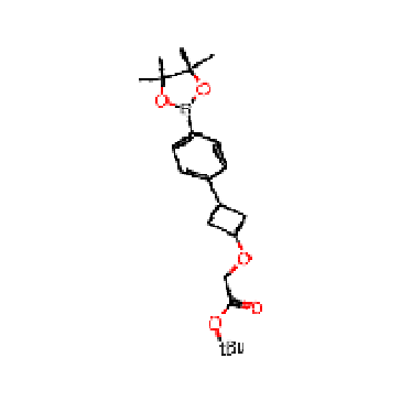 CC(C)(C)OC(=O)CO[C@H]1C[C@@H](c2ccc(B3OC(C)(C)C(C)(C)O3)cc2)C1